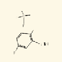 F[B-](F)(F)F.N#[N+]c1cc(F)ccc1F